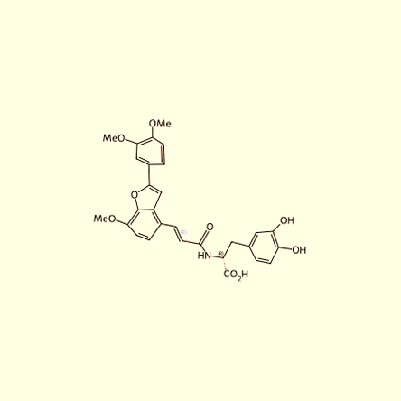 COc1ccc(-c2cc3c(/C=C/C(=O)N[C@H](Cc4ccc(O)c(O)c4)C(=O)O)ccc(OC)c3o2)cc1OC